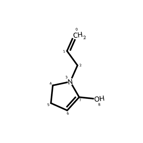 C=CCN1CCC=C1O